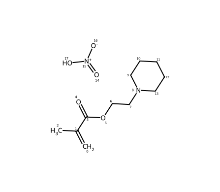 C=C(C)C(=O)OCCN1CCCCC1.O=[N+]([O-])O